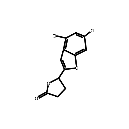 O=C1CCC(c2cc3c(Cl)cc(Cl)cc3o2)O1